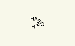 [Hf].[O]=[AlH].[Zr]